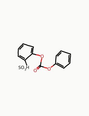 O=C(Oc1ccccc1)Oc1ccccc1S(=O)(=O)O